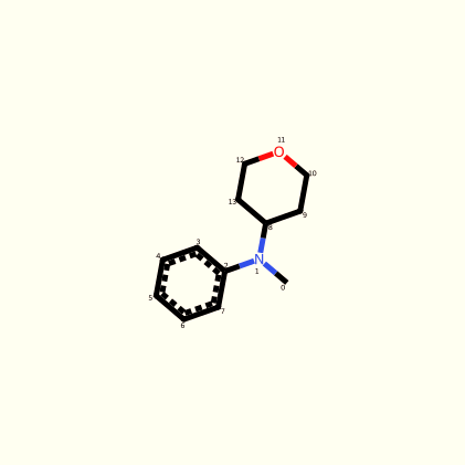 CN(c1ccccc1)C1CCOCC1